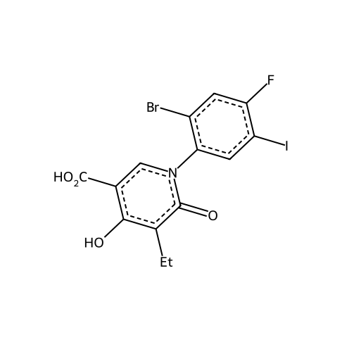 CCc1c(O)c(C(=O)O)cn(-c2cc(I)c(F)cc2Br)c1=O